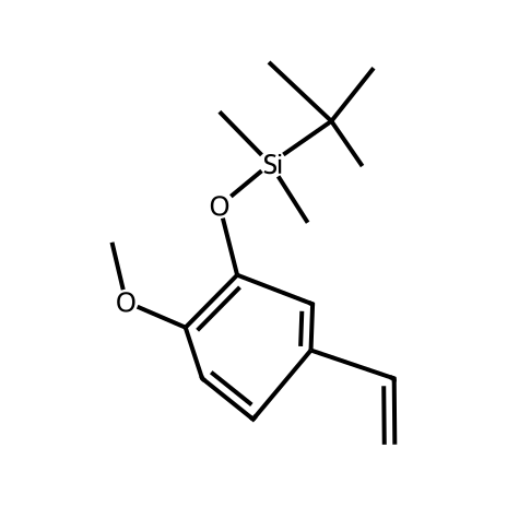 C=Cc1ccc(OC)c(O[Si](C)(C)C(C)(C)C)c1